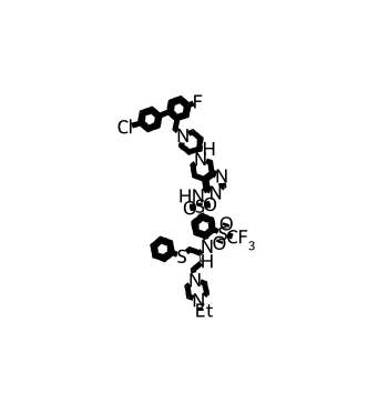 [2H]C1(N2CCc3c(ncnc3NS(=O)(=O)c3ccc(N[C@H](CCN4CCN(CC)CC4)CSc4ccccc4)c(S(=O)(=O)C(F)(F)F)c3)C2)CCN(Cc2cc(F)ccc2-c2ccc(Cl)cc2)CC1